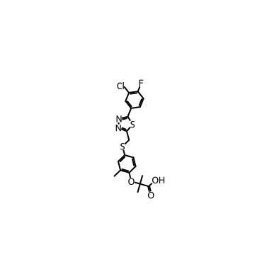 Cc1cc(SCc2nnc(-c3ccc(F)c(Cl)c3)s2)ccc1OC(C)(C)C(=O)O